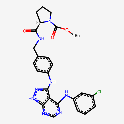 CC(C)(C)OC(=O)N1CCC[C@@H]1C(=O)NCc1ccc(Nc2n[nH]c3ncnc(Nc4cccc(Cl)c4)c23)cc1